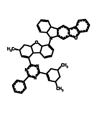 CC1C=C(c2nc(C3=C[C@@H](C)CC4OC5C(N6c7cc8oc9ccccc9c8cc7C7C=CC=CC76)=CC=CC5C34)nc(-c3ccccc3)n2)CC(C)C1